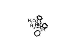 CC[C@](NCc1ccccc1OC)(NC1CCCCCC1)c1ccccc1